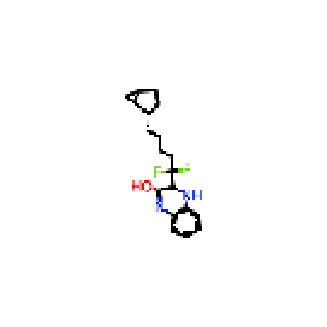 OC1=Nc2ccccc2NC1C(F)(F)CCCC[C@H]1CCC2CC21